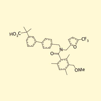 COCc1c(C)cc(C)c(C(=O)N(Cc2ccc(-c3cccc(C(C)(C)C(=O)O)c3)cc2)Cc2ccc(C(F)(F)F)o2)c1C